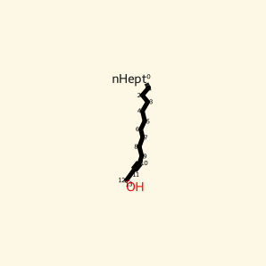 CCCCCCCCCCCCCCCCC#CCO